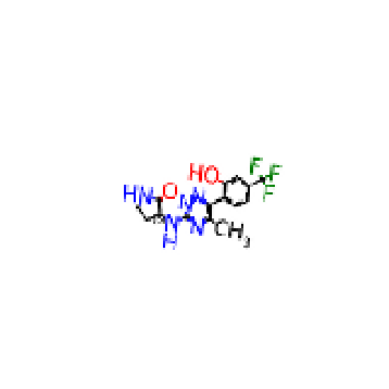 Cc1nc(N[C@H]2CCNC2=O)nnc1-c1ccc(C(F)(F)F)cc1O